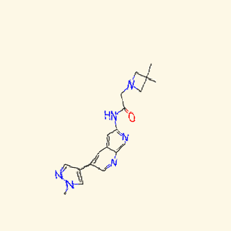 Cn1cc(-c2cnc3cnc(NC(=O)CN4CC(C)(C)C4)cc3c2)cn1